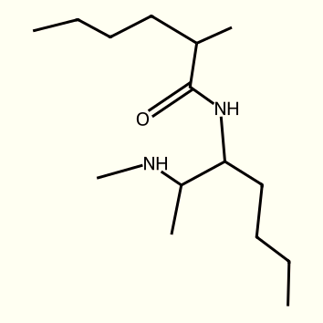 CCCCC(C)C(=O)NC(CCCC)C(C)NC